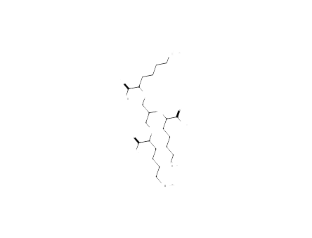 CCCCCCCCCCCCCCC(OCC(COC(CCCCCCCCCCCCCC)C(O)=S)OC(CCCCCCCCCCCCCC)C(O)=S)C(O)=S